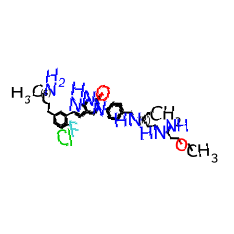 C=C[C@@H](CCNC(=N)CCOCC)NCc1ccc(-n2cc3cc(-c4cc(CCC[C@H](C)N)cc(Cl)c4F)[nH]c3nc2=O)cc1